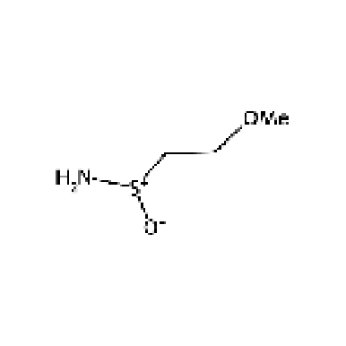 COCC[S+](N)[O-]